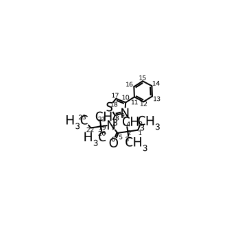 CCC(C)(C)C(=O)N(c1nc(-c2ccccc2)cs1)C(C)(C)CC